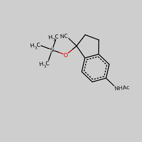 CC(=O)Nc1ccc2c(c1)CCC2(C#N)O[Si](C)(C)C